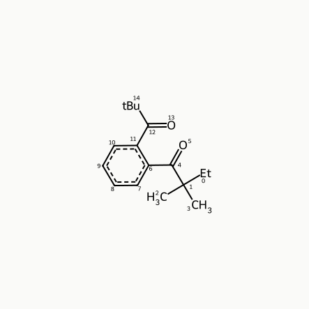 CCC(C)(C)C(=O)c1ccccc1C(=O)C(C)(C)C